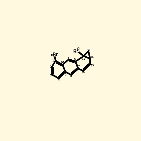 Brc1cccc2cc3c(cc12)C1(Br)CC1C=C3